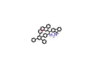 CC1(N)c2ccccc2-c2ccc(C(Cc3ccc(-c4c(-c5ccccc5)cc(-c5ccccc5)cc4-c4ccccc4)cc3)c3cc4ccccc4c4ccccc34)cc21